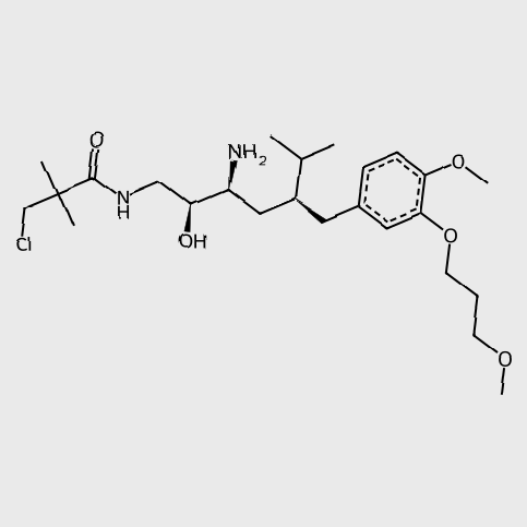 COCCCOc1cc(C[C@@H](C[C@H](N)[C@@H](O)CNC(=O)C(C)(C)CCl)C(C)C)ccc1OC